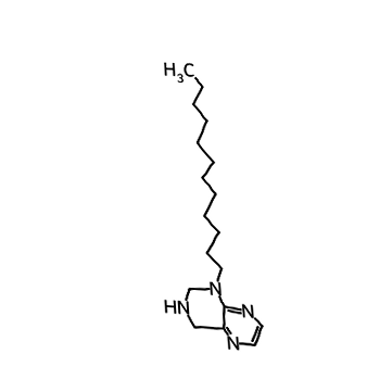 CCCCCCCCCCCCN1CNCc2nccnc21